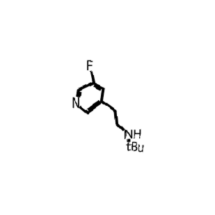 CC(C)(C)NCCc1cncc(F)c1